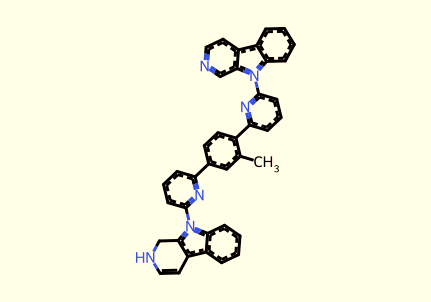 Cc1cc(-c2cccc(-n3c4c(c5ccccc53)C=CNC4)n2)ccc1-c1cccc(-n2c3ccccc3c3ccncc32)n1